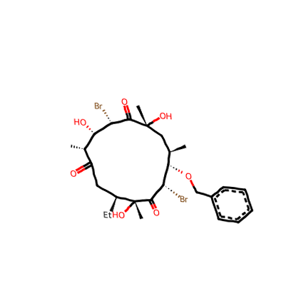 CC[C@H]1CC(=O)[C@H](C)[C@H](O)[C@H](Br)C(=O)[C@](C)(O)C[C@@H](C)[C@H](OCc2ccccc2)[C@H](Br)C(=O)[C@]1(C)O